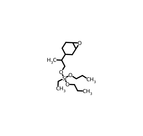 CCCO[Si](CC)(OCCC)OCC(C)C1CCC2OC2C1